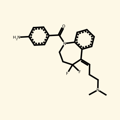 CN(C)CCC=C1c2ccccc2N(C(=O)c2ccc(N)cc2)CCC1(F)F